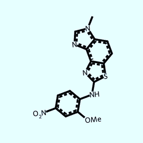 COc1cc([N+](=O)[O-])ccc1Nc1nc2c(ccc3c2ncn3C)s1